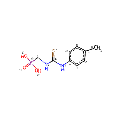 Cc1ccc(NC(=S)NCP(=O)(O)O)cc1